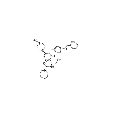 CC(=O)N1CCN(C(=O)[C@H](Cc2ccc(OCc3ccccc3)cc2)NC(=O)[C@H](CC(C)C)NC(=O)N2CCCCCC2)CC1